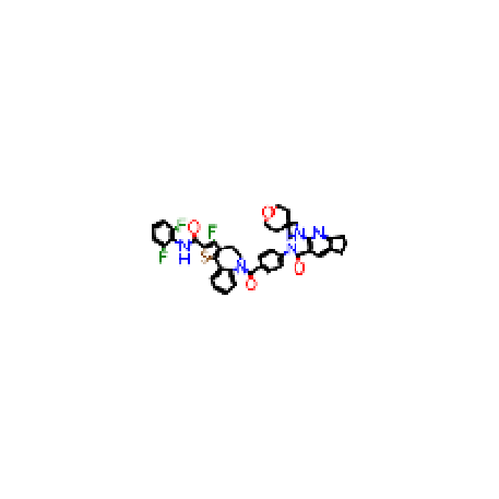 O=C(Nc1ccc(C(=O)N2CCc3c(sc(C(=O)Nc4c(F)cccc4F)c3F)-c3ccccc32)cc1)c1cc2c(nc1N1CC3(CCOCC3)C1)CCC2